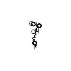 CN(Cc1ccccc1N1CCOCC1)C(=O)CCCSc1ccc(F)cc1